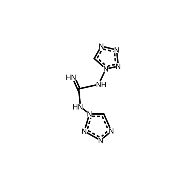 N=C(Nn1cnnn1)Nn1cnnn1